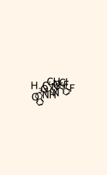 CC(C)c1c(C(=O)N[C@H]2CCOc3ccccc32)cnc2c(-c3cccc(F)c3F)c(Cl)nn12